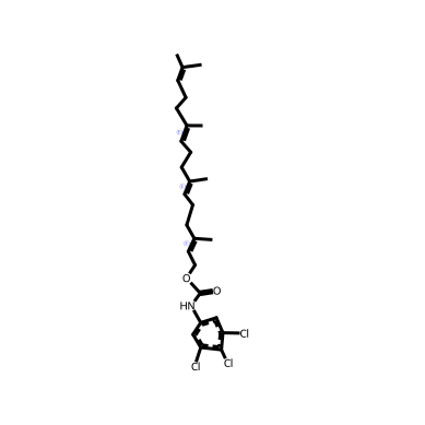 CC(C)=CCC/C(C)=C/CC/C(C)=C/CC/C(C)=C/COC(=O)Nc1cc(Cl)c(Cl)c(Cl)c1